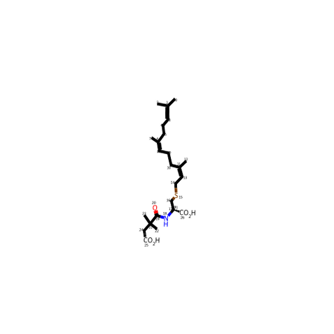 CC(C)=CCCC(C)=CCCC(C)=CCSC[C@H](NC(=O)C(C)(C)CC(=O)O)C(=O)O